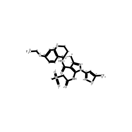 CS(=O)(=O)CC(=O)Nc1c2c(nn1-c1cc(C(F)(F)F)on1)C[C@]1(CCOc3cc(OCC(F)(F)F)ccc31)NC2=O